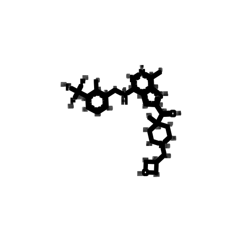 Cc1c(CNc2nnc(C)c3sc(C(=O)C4(C)CCN(CC5COC5)CC4)cc23)cccc1C(F)(F)F